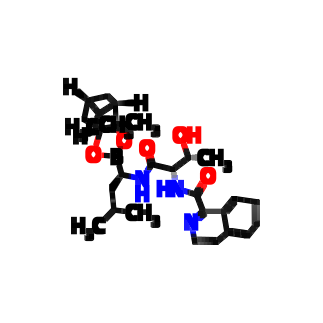 CC(C)C[C@H](NC(=O)[C@@H](NC(=O)c1nccc2ccccc12)[C@@H](C)O)B1O[C@@H]2C[C@@H]3C[C@@H](C3(C)C)[C@]2(C)O1